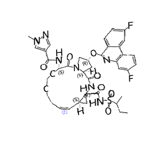 CCC(C)S(=O)(=O)NC(=O)[C@@]12C[C@H]1/C=C\CCCCC[C@H](NC(=O)c1cnn(C)c1)C(=O)N1C[C@H](Oc3nc4cc(F)ccc4c4cc(F)ccc34)C[C@H]1C(=O)N2